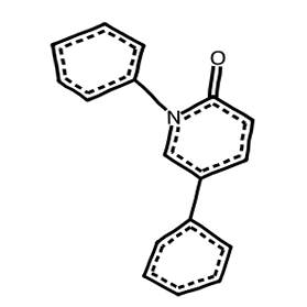 O=c1ccc(-c2ccccc2)cn1-c1ccccc1